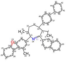 CCC1/C(c2ccc3ccccc3c2)=N\C(c2cc(C)c3c(c2)oc2ccccc23)C(C)CCC1c1ccc(-c2ccccc2)cc1